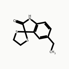 CCc1ccc2c(c1)C1(SCCS1)C(=O)N2